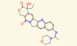 CC[C@@]1(O)C(=O)OCc2c1cc1n(c2=O)Cc2cc3cc(N=C(C)N4CCOCC4)ccc3nc2-1